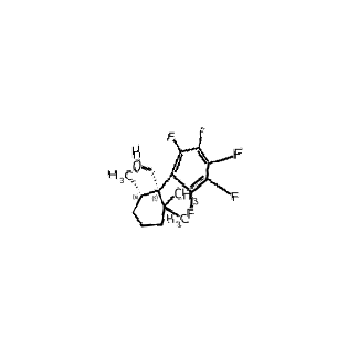 C[C@H]1CCCC(C)(C)[C@]1(CO)c1c(F)c(F)c(F)c(F)c1F